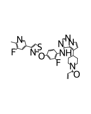 C=CC(=O)N1CCC(c2ccn3ncnc(Nc4ccc(Oc5nc(-c6cnc(C)c(F)c6)cs5)cc4F)c23)CC1